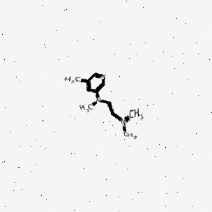 Cc1cncc(N(C)CCN(C)C)c1